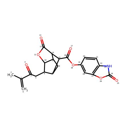 C=C(C)C(=O)CC1C2CC3C1OC(=O)C3C2C(=O)Oc1ccc2[nH]c(=O)oc2c1